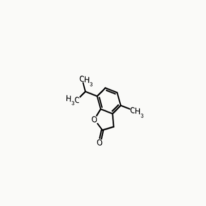 Cc1ccc(C(C)C)c2c1CC(=O)O2